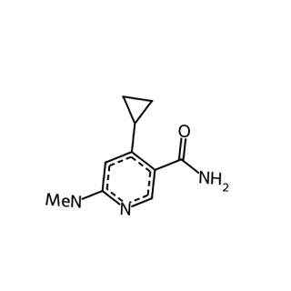 CNc1cc(C2CC2)c(C(N)=O)cn1